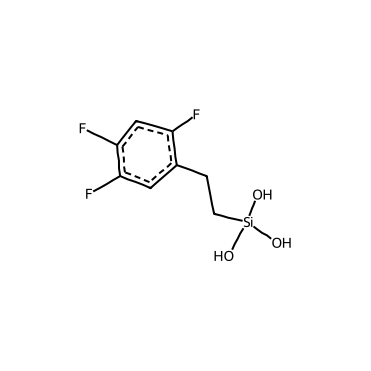 O[Si](O)(O)CCc1cc(F)c(F)cc1F